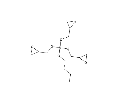 CCCCO[Si](OCC1CO1)(OCC1CO1)OCC1CO1